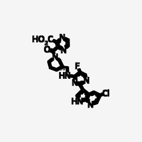 O=C(O)c1nccnc1C(=O)N1CCC[C@H](CNc2nc(-c3c[nH]c4ncc(Cl)cc34)ncc2F)C1